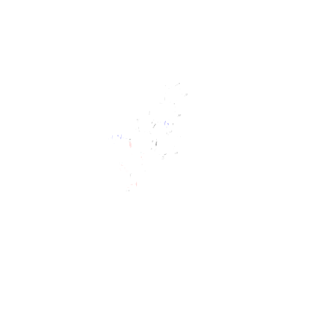 NC(=O)C1CCc2c1c1c(OCC(=O)O)cccc1n2CC1CCCC1